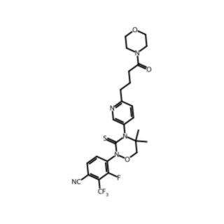 CC1(C)CON(c2ccc(C#N)c(C(F)(F)F)c2F)C(=S)N1c1ccc(CCCC(=O)N2CCOCC2)nc1